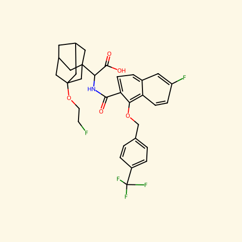 O=C(NC(C(=O)O)C12CC3CC(CC(OCCF)(C3)C1)C2)c1ccc2cc(F)ccc2c1OCc1ccc(C(F)(F)F)cc1